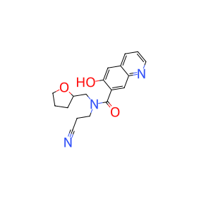 N#CCCN(CC1CCCO1)C(=O)c1cc2ncccc2cc1O